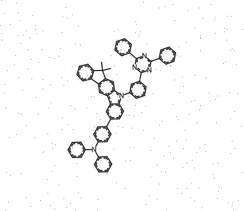 CC1(C)c2ccccc2-c2cc3c4cc(-c5ccc(N(c6ccccc6)c6ccccc6)cc5)ccc4n(-c4cccc(-c5nc(-c6ccccc6)nc(-c6ccccc6)n5)c4)c3cc21